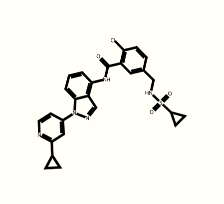 O=C(Nc1cccc2c1cnn2-c1ccnc(C2CC2)c1)c1cc(CNS(=O)(=O)C2CC2)ccc1Cl